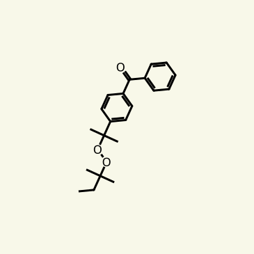 CCC(C)(C)OOC(C)(C)c1ccc(C(=O)c2ccccc2)cc1